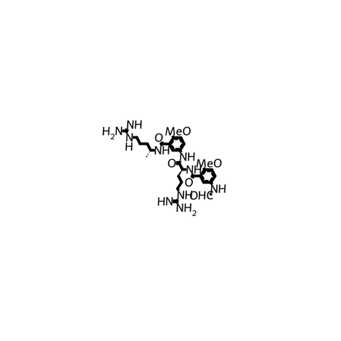 COc1ccc(NC(=O)[C@H](CCCNC(=N)N)NC(=O)c2cc(NC=O)ccc2OC)cc1C(=O)N[C@H](C)CCCNC(=N)N